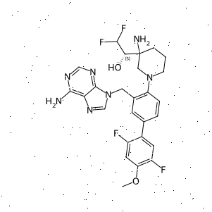 COc1cc(F)c(-c2ccc(N3CCCC(N)([C@H](O)C(F)F)C3)c(Cn3cnc4c(N)ncnc43)c2)cc1F